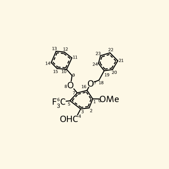 COc1cc(C=O)c(C(F)(F)F)c(OCc2ccccc2)c1OCc1ccccc1